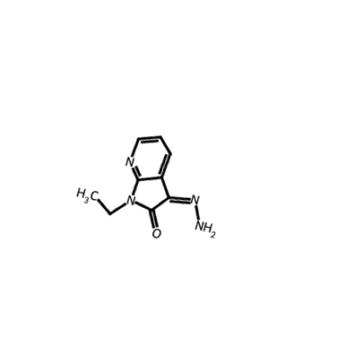 CCN1C(=O)/C(=N\N)c2cccnc21